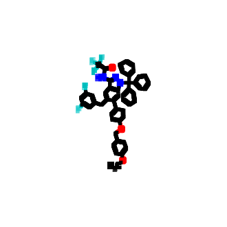 COc1ccc(COc2ccc(-c3cc4c(cc3Cc3cc(F)cc(F)c3)c(NC(=O)C(F)(F)F)nn4C(c3ccccc3)(c3ccccc3)c3ccccc3)cc2)cc1